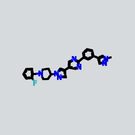 Cn1cc(-c2cccc(-c3ncc(-c4cnn(C5CCN(c6ccccc6F)CC5)c4)cn3)c2)cn1